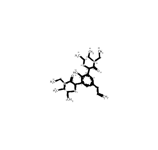 C=CCc1cc(C(SCC)C(=O)N(CC)CC)c(O)c(C(SCC)C(=O)N(CC)CC)c1